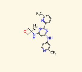 CC1(Nc2cc(Nc3ccnc(C(F)(F)F)c3)nc(-c3cccc(C(F)(F)F)n3)n2)COC1